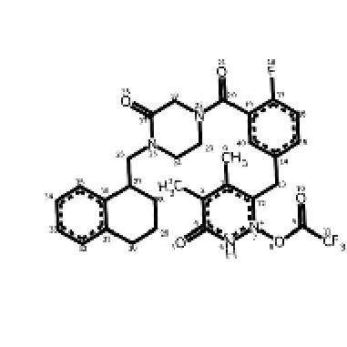 Cc1c(C)c(=O)[nH][n+](OC(=O)C(F)(F)F)c1Cc1ccc(F)c(C(=O)N2CCN(CC3CCCc4ccccc43)C(=O)C2)c1